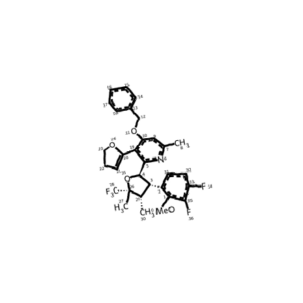 COc1c([C@H]2[C@H](c3nc(C)cc(OCc4ccccc4)c3C3=CCCO3)O[C@@](C)(C(F)(F)F)[C@H]2C)ccc(F)c1F